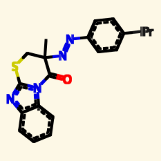 CC(C)c1ccc(N=NC2(C)CSc3nc4ccccc4n3C2=O)cc1